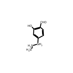 O=Cc1ccc([SiH2][SiH2][SiH3])cc1O